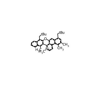 Cc1cc(CC(C)(C)C)c2cc3c4c([n+](C)ccc4c2c1C)-c1c(c(CC(C)(C)C)c2ccccc2c1C)O3